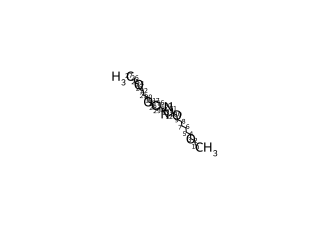 CCCOCCCCCCOc1cnc(-c2ccc(OCCCCOCCC)cc2)nc1